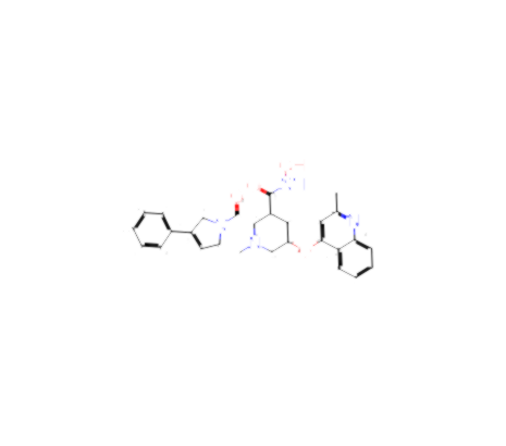 Cc1cc(OC2CC(C(=O)NO)[C@@H](C(=O)N3CC=C(c4ccccc4)C3)N(C)C2)c2ccccc2n1